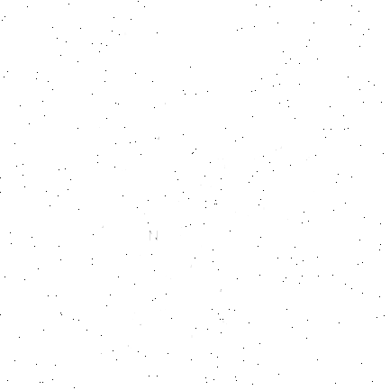 c1cc(-c2ccc3ccccc3c2)cc(N(c2ccc3c(c2)sc2ccccc23)c2cc3ccccc3c3ccccc23)c1